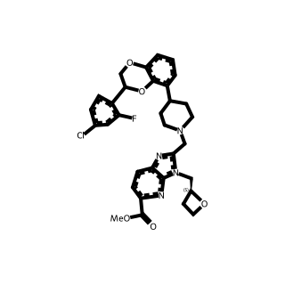 COC(=O)c1ccc2nc(CN3CCC(c4cccc5c4OC(c4ccc(Cl)cc4F)CO5)CC3)n(C[C@@H]3CCO3)c2n1